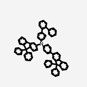 c1ccc(-c2ccccc2-c2ccc(N(c3ccc(-c4ccc5c(c4)C(c4ccccc4)(c4ccccc4)c4ccccc4-5)cc3)c3ccc4c(c3)-c3ccccc3C4(c3ccccc3)c3ccccc3)cc2)cc1